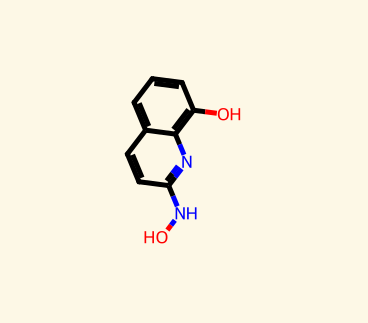 ONc1ccc2cccc(O)c2n1